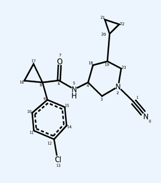 N#CN1CC(NC(=O)C2(c3ccc(Cl)cc3)CC2)CC(C2CC2)C1